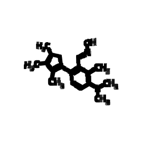 CC1=C(C)C(C)=C(c2ccc(N(C)C)c(C)c2C=NO)C1